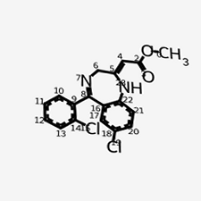 COC(=O)C=C1CN=C(c2ccccc2Cl)c2cc(Cl)ccc2N1